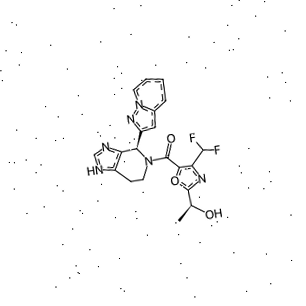 C[C@H](O)c1nc(C(F)F)c(C(=O)N2CCc3[nH]cnc3[C@H]2c2cc3ccccn3n2)o1